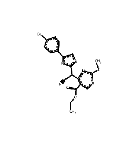 CCOC(=O)c1cnc(SC)nc1C(C#N)c1nc(-c2ccc(Br)cc2)cs1